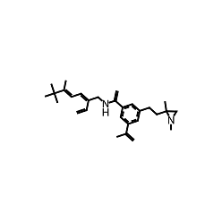 C=C/C(=C\C=C(/C)C(C)(C)C)CNC(=C)c1cc(CCC2(C)CN2C)cc(C(=C)C)c1